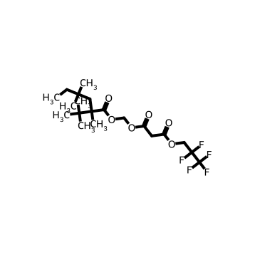 CCC(C)(C)CC(C)(C(=O)OCOC(=O)CC(=O)OCC(F)(F)C(F)(F)F)C(C)(C)C